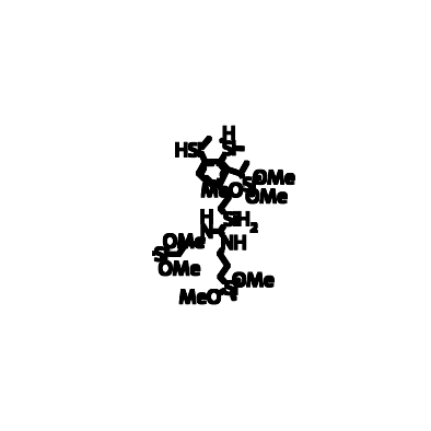 CO[Si](C)(CCCNC(NCCC[Si](C)(OC)OC)[SiH2]CCc1ccc([SiH](C)C)c([SiH](C)C)c1C(C)[Si](OC)(OC)OC)OC